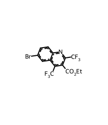 CCOC(=O)c1c(C(F)(F)F)nc2ccc(Br)cc2c1C(F)(F)F